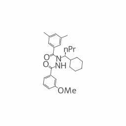 CCC[C@@H](C1CCCCC1)N(NC(=O)c1cccc(OC)c1)C(=O)c1cc(C)cc(C)c1